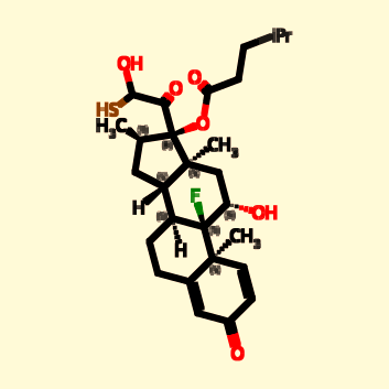 CC(C)CCC(=O)O[C@]1(C(=O)C(O)S)[C@H](C)C[C@H]2[C@@H]3CCC4=CC(=O)C=C[C@]4(C)[C@@]3(F)[C@@H](O)C[C@@]21C